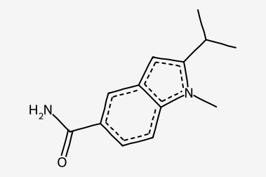 CC(C)c1cc2cc(C(N)=O)ccc2n1C